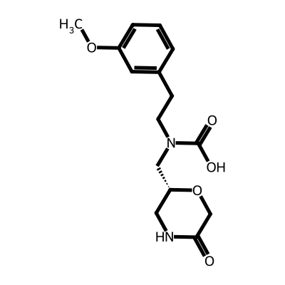 COc1cccc(CCN(C[C@H]2CNC(=O)CO2)C(=O)O)c1